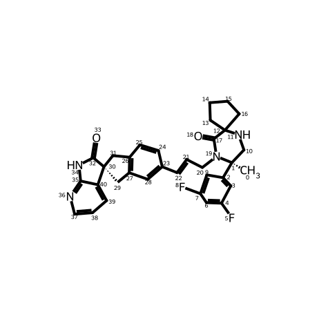 C[C@@]1(c2cc(F)cc(F)c2)CNC2(CCCC2)C(=O)N1C/C=C/c1ccc2c(c1)C[C@@]1(C2)C(=O)Nc2ncccc21